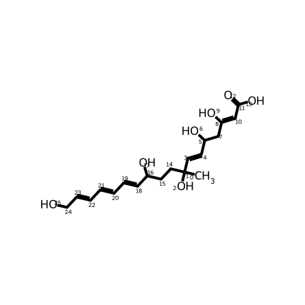 CC(O)(/C=C/C(O)C/C(O)=C/C(=O)O)CCC(O)/C=C/C=C/C=C/CO